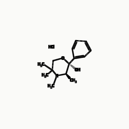 C[C@H]1N(C)C(C)(C)CO[C@@]1(O)c1ccccc1.Cl